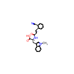 Cn1cc(C[C@H](NC(=O)/C=C/c2ccccc2C#N)C(=O)O)c2ccccc21